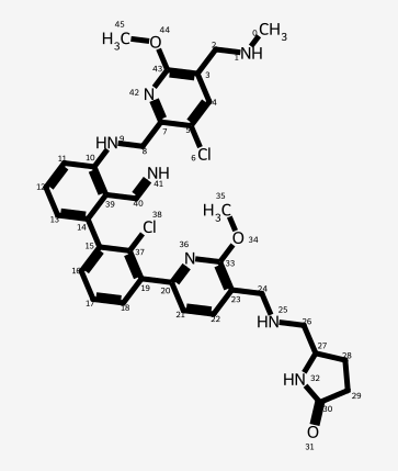 CNCc1cc(Cl)c(CNc2cccc(-c3cccc(-c4ccc(CNCC5CCC(=O)N5)c(OC)n4)c3Cl)c2C=N)nc1OC